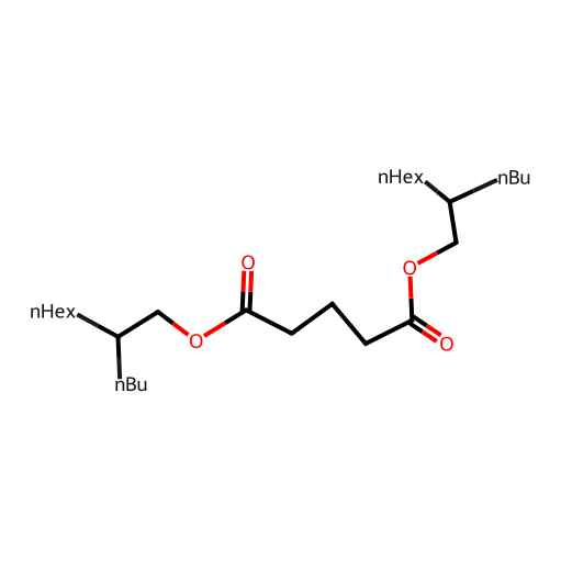 CCCCCCC(CCCC)COC(=O)CCCC(=O)OCC(CCCC)CCCCCC